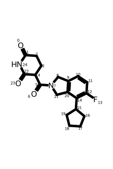 O=C1CCC(C(=O)N2Cc3ccc(F)c(C4CCCC4)c3C2)C(=O)N1